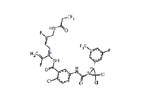 C=C(F)/C(=C\C=C(\F)CNC(=O)CC(F)(F)F)NC(=O)c1cc(NC(=O)[C@H]2[C@H](c3cc(F)cc(C(F)(F)F)c3)C2(Cl)Cl)ccc1Cl